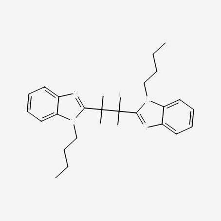 CCCCn1c(C(F)(F)C(F)(F)c2nc3ccccc3n2CCCC)nc2ccccc21